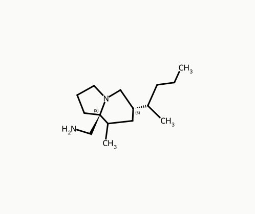 CCCC(C)[C@@H]1CC(C)[C@]2(CN)CCCN2C1